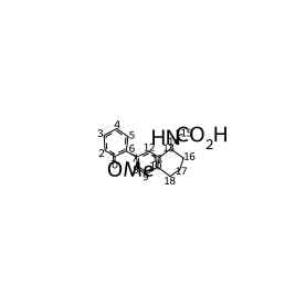 COc1ccccc1-c1ccc2c(c1)C(NC(=O)O)CCC2